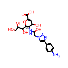 Nc1ccc(-c2cn(CC(O)N[C@@H]3C(O)C=C(C(=O)O)OC3C(O)C(O)CO)nn2)cc1